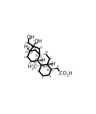 C[C@@]12CCC[C@H](CC(=O)O)[C@H]1CC[C@@]13C[C@H](CC[C@H]12)[C@](O)(CO)C3